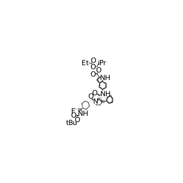 CCC(=O)OC(OC(=O)c1cc2cc(NC(=O)[C@@H]3[C@@H](c4ccccc4)CCN3C(=O)[C@H]3CC[C@H]([C@@H](CF)NC(=O)OC(C)(C)C)CC3)ccc2[nH]1)C(C)C